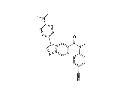 CN(C)c1ncc(-c2cnc3cnc(C(=O)N(C)c4ccc(C#N)cc4)cn23)cn1